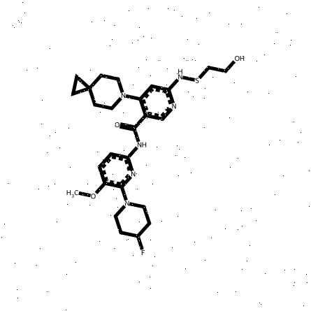 COc1ccc(NC(=O)c2cnc(NSCCO)cc2N2CCC3(CC2)CC3)nc1N1CCC(F)CC1